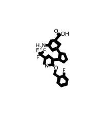 Nc1cc(C(=O)O)cc(C2=C(c3cc(C(F)(F)F)cnc3OCc3ccccc3F)CCC2)c1